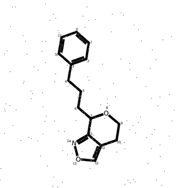 c1ccc(CCCC2OCCc3conc32)cc1